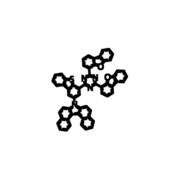 c1ccc2c(c1)ccc1c2c2c3ccccc3ccc2n1-c1cc(-c2nc(-c3cccc4c3oc3ccccc34)nc(-c3cccc4c3oc3ccccc34)n2)c2sc3ccccc3c2c1